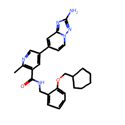 Cc1ncc(-c2ccn3nc(N)nc3c2)cc1C(=O)NCc1ccccc1OCC1CCCCC1